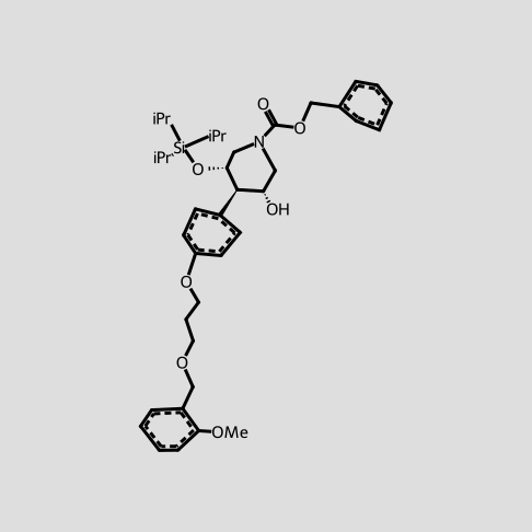 COc1ccccc1COCCCOc1ccc([C@@H]2[C@@H](O)CN(C(=O)OCc3ccccc3)C[C@H]2O[Si](C(C)C)(C(C)C)C(C)C)cc1